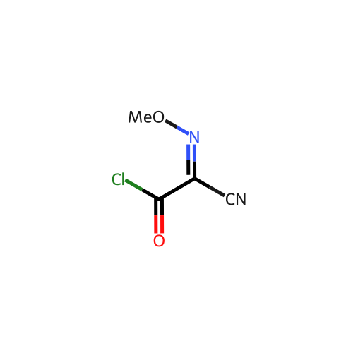 CON=C(C#N)C(=O)Cl